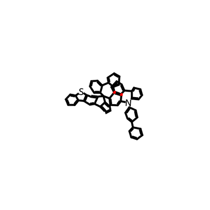 c1ccc(-c2ccc(N(c3ccc4c(c3)-c3ccccc3-c3ccccc3C43c4ccccc4-c4cc5c(cc43)sc3ccccc35)c3ccccc3-c3ccccc3)cc2)cc1